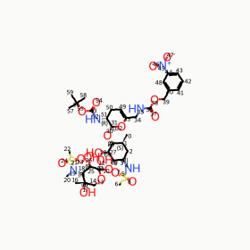 C[C@H]1C[C@@H](NS(C)(=O)=O)[C@H](O[C@@]2(O)OC[C@](C)(O)[C@H](N(C)S(C)(=O)=O)[C@H]2O)[C@@H](O)[C@@H]1O[C@H]1OC(CNC(=O)OCc2cccc([N+](=O)[O-])c2)=CC[C@H]1NC(=O)OC(C)(C)C